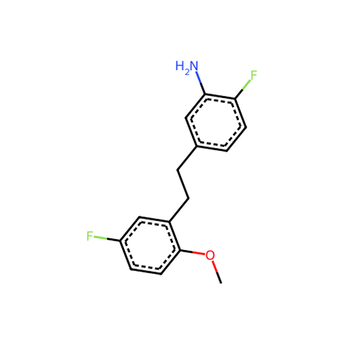 COc1ccc(F)cc1CCc1ccc(F)c(N)c1